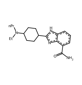 CCCN(CC)C1CCC(c2nc3c(C(N)=O)cccc3[nH]2)CC1